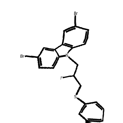 FC(CSc1ccccc1)Cn1c2ccc(Br)cc2c2cc(Br)ccc21